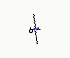 CCCCCCCCCC[N+](CCCCCCCCCC)(Cc1ccccc1C)CC(C)C